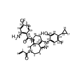 C=CC(=O)N1CCc2nn(-c3cc(F)c(C4CC4)cc3O)c3c2[C@H](C1)N(C(=O)c1cnc(C(F)(F)F)cc1N)CC3